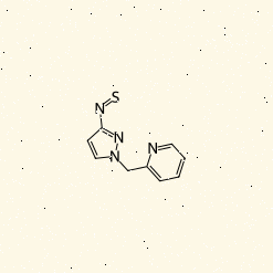 S=Nc1ccn(Cc2ccccn2)n1